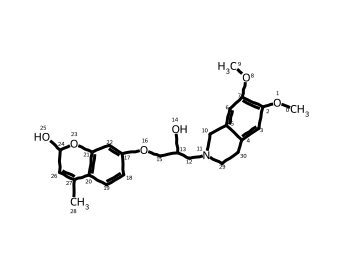 COc1cc2c(cc1OC)CN(CC(O)COc1ccc3c(c1)OC(O)C=C3C)CC2